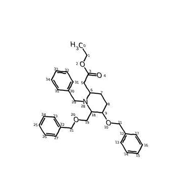 CCOC(=O)CC1CCC(OCc2ccccc2)C(COCc2ccccc2)N1Cc1ccccc1